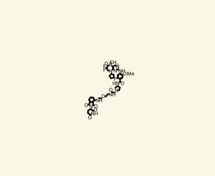 COc1cc(C(=O)N[C@H]2CCN(CC(=O)NCCOCCNc3cccc4c3C(=O)N(C3CCC(=O)NC3=O)C4=O)C2)c(F)cc1Nc1ncc2c(n1)N(C1CCCC1)CC(F)(F)C(=O)N2C